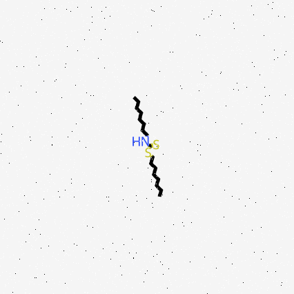 CCCCCCCCNC(=S)SCCCCCCCC